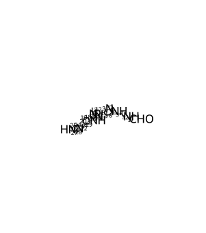 O=CCNCCCNc1ccc(-c2ccnc(Nc3cccc(CN4CCNCC4)c3)n2)cn1